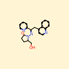 O=C1CCC(CO)N1N=C(Cc1ccnc2ccccc12)c1ccccn1